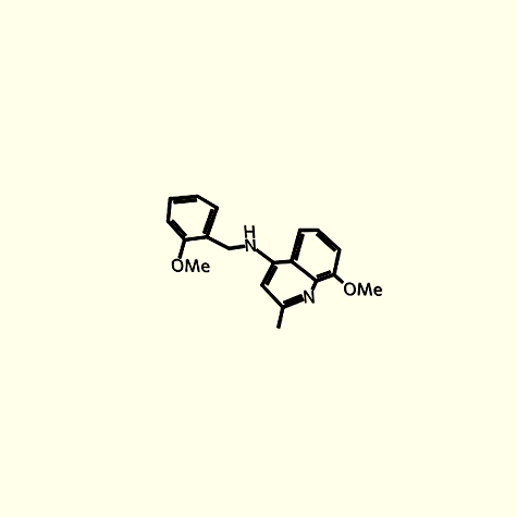 COc1ccccc1CNc1cc(C)nc2c(OC)cccc12